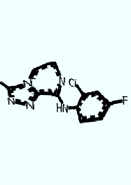 Cc1nnc2c(Nc3ccc(F)cc3Cl)nccn12